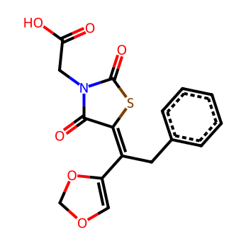 O=C(O)CN1C(=O)SC(=C(Cc2ccccc2)C2=COCO2)C1=O